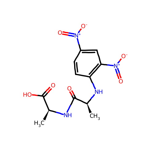 C[C@H](NC(=O)[C@H](C)Nc1ccc([N+](=O)[O-])cc1[N+](=O)[O-])C(=O)O